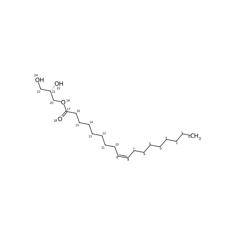 CCCCCCCC/C=C\CCCCCCCC(=O)OC[C@@H](O)CO